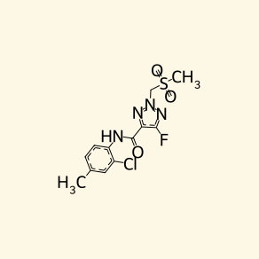 Cc1ccc(NC(=O)c2nn(CS(C)(=O)=O)nc2F)c(Cl)c1